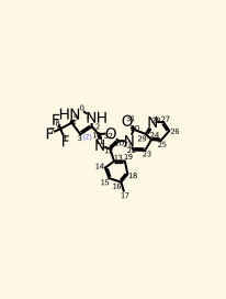 CN/C(=C\C(=N)C(F)(F)F)c1nc(-c2ccc(C)cc2)c(-n2ccc3cccnc3c2=O)o1